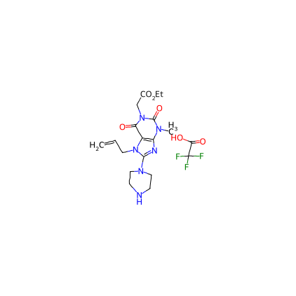 C=CCn1c(N2CCNCC2)nc2c1c(=O)n(CC(=O)OCC)c(=O)n2C.O=C(O)C(F)(F)F